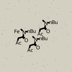 CCCCN(C)C(=O)CC(C)=O.CCCCN(C)C(=O)CC(C)=O.CCCCN(C)C(=O)CC(C)=O.[Fe]